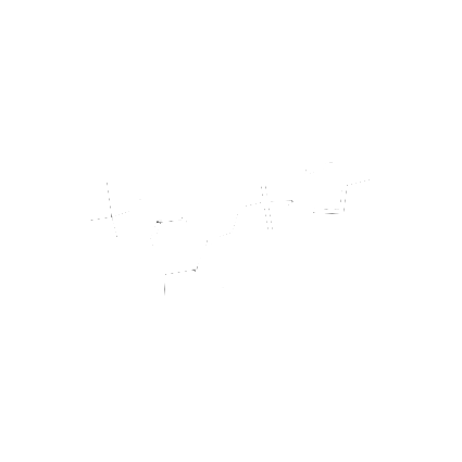 C=C(CC)C(COS(=O)(=O)c1ccc(C)cc1)NC(=O)OC(C)(C)C